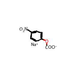 O=C([O-])Oc1ccc([N+](=O)[O-])cc1.[Na+]